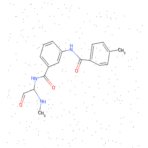 CNC(C=O)NC(=O)c1c[c]cc(NC(=O)c2ccc(C)cc2)c1